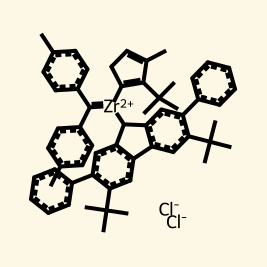 CC1=CC[C]([Zr+2](=[C](c2ccc(C)cc2)c2ccc(C)cc2)[CH]2c3cc(-c4ccccc4)c(C(C)(C)C)cc3-c3cc(C(C)(C)C)c(-c4ccccc4)cc32)=C1C(C)(C)C.[Cl-].[Cl-]